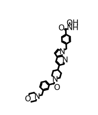 O=C(NO)c1ccc(Cn2ccc3cc(C4CCN(C(=O)c5cccc(CN6CCOCC6)c5)CC4)cnc32)cc1